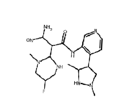 CC1NN(C)CC1c1ccncc1NC(=O)C(C(N)N=O)C1NCC(F)CN1C